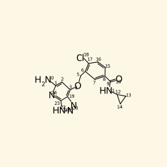 Nc1cc(OCc2cc(C(=O)NC3CC3)ccc2Cl)c2nn[nH]c2n1